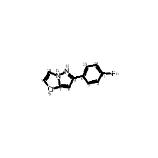 Fc1ccc(-c2cc3occn3n2)cc1